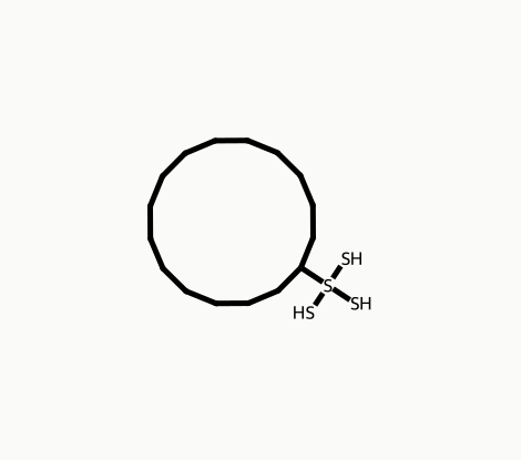 SS(S)(S)C1CCCCCCCCCCCCCCC1